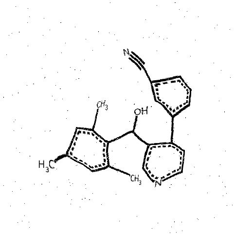 Cc1cc(C)c(C(O)c2cnccc2-c2cccc(C#N)c2)c(C)c1